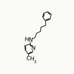 Cc1ccc(NCCCCCc2ccccc2)nc1